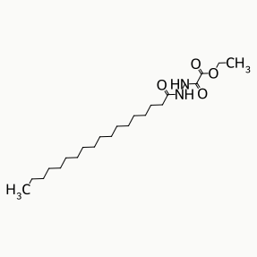 CCCCCCCCCCCCCCCCCC(=O)NNC(=O)C(=O)OCC